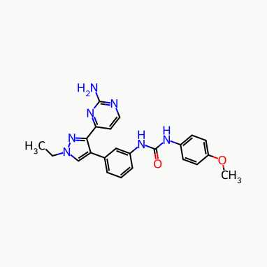 CCn1cc(-c2cccc(NC(=O)Nc3ccc(OC)cc3)c2)c(-c2ccnc(N)n2)n1